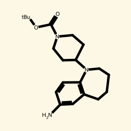 CC(C)(C)OC(=O)N1CCC(N2CCCCc3cc(N)ccc32)CC1